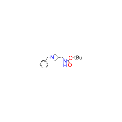 CC(C)(C)OC(=O)NCC1CN(Cc2ccccc2)C1